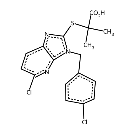 CC(C)(Sc1nc2ccc(Cl)nc2n1Cc1ccc(Cl)cc1)C(=O)O